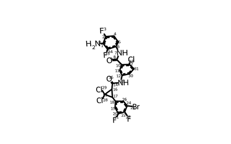 Nc1c(F)ccc(NC(=O)c2cc(NC(=O)C3C(c4cc(F)c(F)c(Br)c4)C3(Cl)Cl)ccc2Cl)c1F